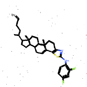 CC(C)CCCC(C)C1CCC2C3CC=C4c5sc(Nc6ccc(F)cc6F)nc5CCC4(C)C3CCC12C